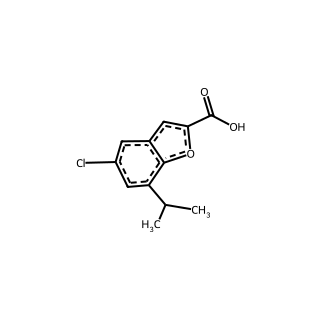 CC(C)c1cc(Cl)cc2cc(C(=O)O)oc12